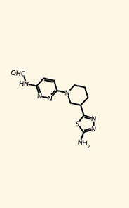 Nc1nnc(C2CCCN(c3ccc(NC=O)nn3)C2)s1